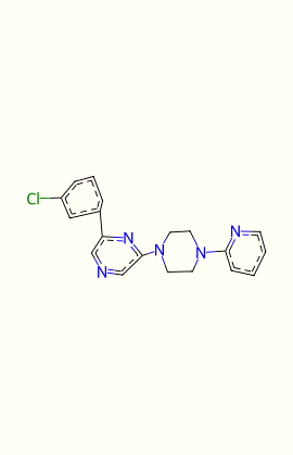 Clc1cccc(-c2cncc(N3CCN(c4ccccn4)CC3)n2)c1